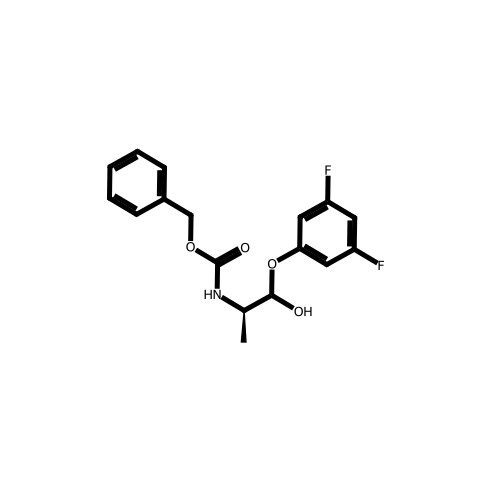 C[C@@H](NC(=O)OCc1ccccc1)C(O)Oc1cc(F)cc(F)c1